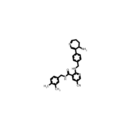 Cc1ccc(CNC(=O)c2cc(C#N)cnc2NCc2ccc(C3=CN=CCCC3N)cc2)cc1C